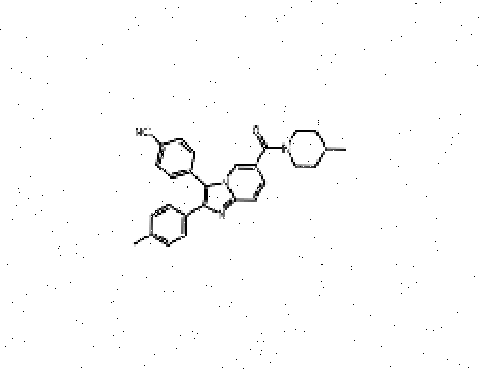 Cc1ccc(-c2nc3ccc(C(=O)N4CCC(C)CC4)cn3c2-c2ccc(C#N)cc2)cc1